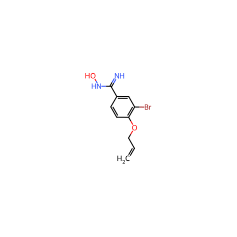 C=CCOc1ccc(C(=N)NO)cc1Br